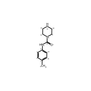 Cc1ccc(NC(=O)N2CCNCC2)cc1